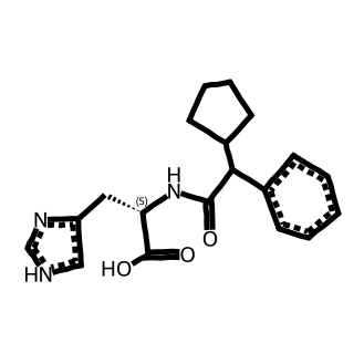 O=C(N[C@@H](Cc1c[nH]cn1)C(=O)O)C(c1ccccc1)C1CCCC1